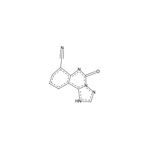 N#Cc1cccc2c1nc(=O)n1nc[nH]c21